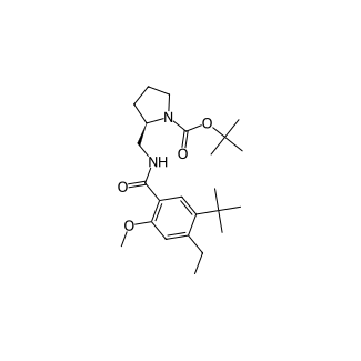 CCc1cc(OC)c(C(=O)NC[C@H]2CCCN2C(=O)OC(C)(C)C)cc1C(C)(C)C